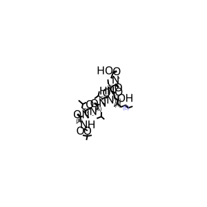 C/C=C/C[C@@H](C)[C@@H](O)[C@@H](C(=O)N[C@@H](CC)C(=O)N(C)CC(=O)O)N(C)C(=O)[C@H](C(C)C)N(C)C(=O)[C@H](CC(C)C)N(C)C(=O)[C@H](CC(C)C)N(C)C(=O)[C@@H](C)NC(=O)OC(C)(C)C